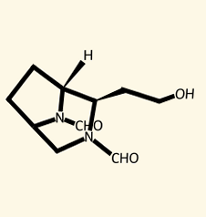 O=CN1CC2CC[C@H]([C@H]1CCO)N2C=O